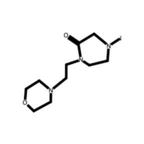 O=C1CN(I)CCN1CCN1CCOCC1